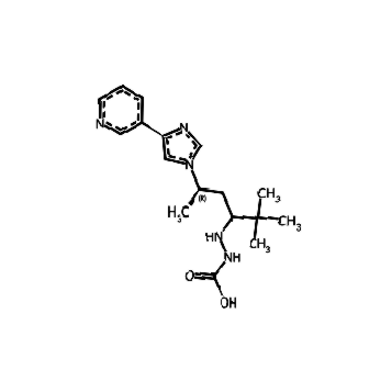 C[C@H](C[C](NNC(=O)O)C(C)(C)C)n1cnc(-c2cccnc2)c1